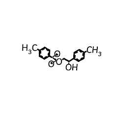 Cc1ccc([C@H](O)COS(=O)(=O)c2ccc(C)cc2)cc1